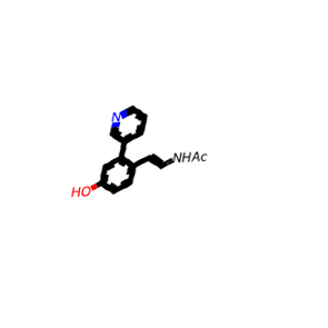 CC(=O)NC=Cc1ccc(O)cc1-c1cccnc1